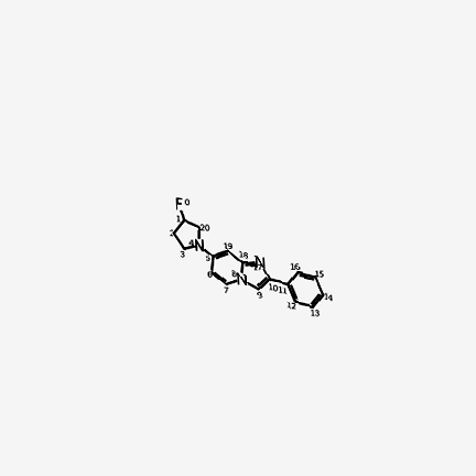 FC1CCN(c2ccn3cc(-c4ccccc4)nc3c2)C1